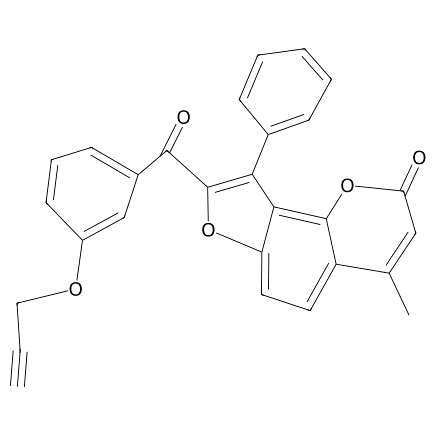 C#CCOc1cccc(C(=O)c2oc3ccc4c(C)cc(=O)oc4c3c2-c2ccccc2)c1